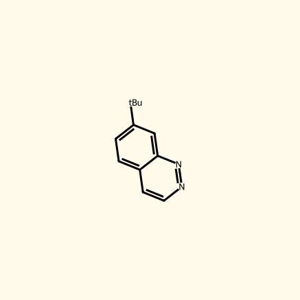 CC(C)(C)c1ccc2ccnnc2c1